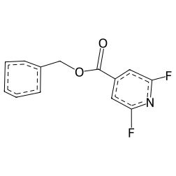 O=C(OCc1ccccc1)c1cc(F)nc(F)c1